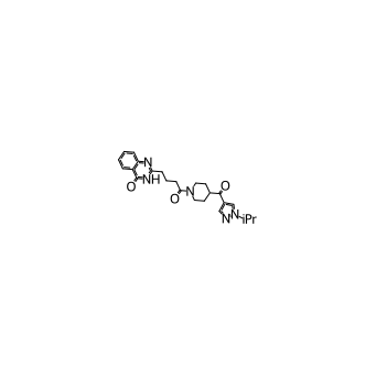 CC(C)n1cc(C(=O)C2CCN(C(=O)CCCc3nc4ccccc4c(=O)[nH]3)CC2)cn1